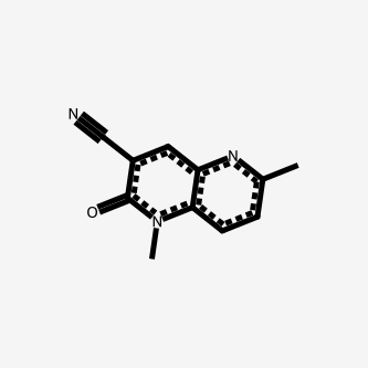 Cc1ccc2c(cc(C#N)c(=O)n2C)n1